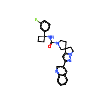 O=C(NC1(c2cccc(F)c2)CCC1)N1CCC2(CCn3nc(-c4cnc5ccccc5c4)cc32)C1